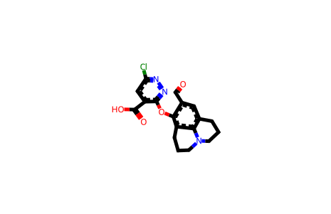 O=Cc1cc2c3c(c1Oc1nnc(Cl)cc1C(=O)O)CCCN3CCC2